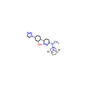 CN(c1ccc(-c2ccc(-n3ccnn3)cc2O)nn1)C1C[C@H]2CC[C@@H](C1)N2